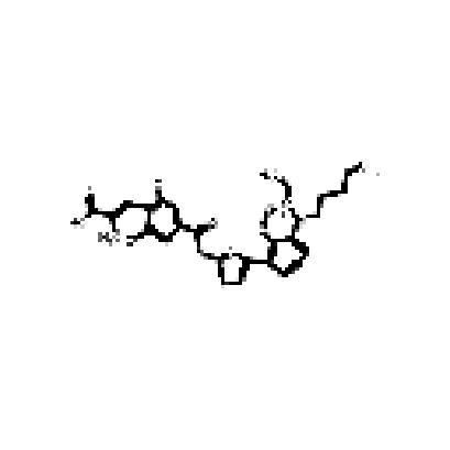 CCCCC[C@H](OCC)c1cccc(-c2csc(NC(=O)c3cc(Cl)c(C=C(C)C(=O)O)c(Cl)c3)n2)c1OC